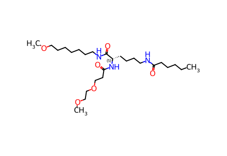 CCCCCC(=O)NCCCC[C@H](NC(=O)CCOCCOC)C(=O)NCCCCCCCOC